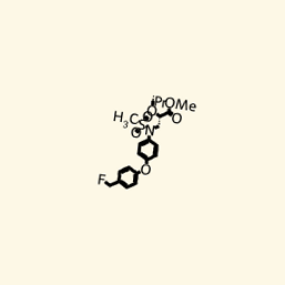 COC(=O)[C@H](CN(c1ccc(Oc2ccc(CF)cc2)cc1)S(C)(=O)=O)OC(C)C